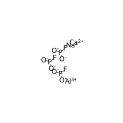 [Al+3].[Ca+2].[Na+].[O-]P([O-])F.[O-]P([O-])F.[O-]P([O-])F